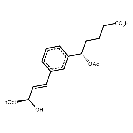 CCCCCCCC[C@H](O)/C=C/c1cccc([C@H](CCCC(=O)O)OC(C)=O)c1